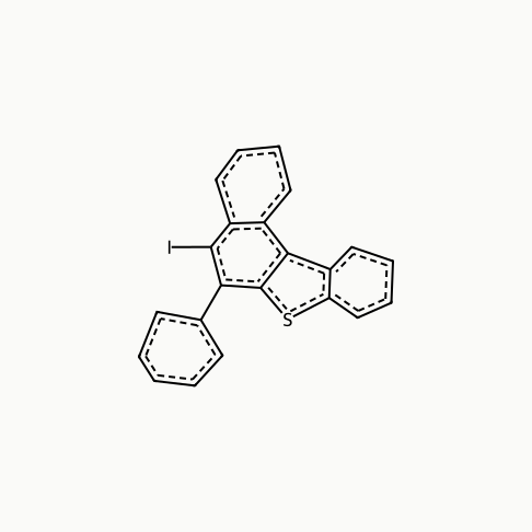 Ic1c(-c2ccccc2)c2sc3ccccc3c2c2ccccc12